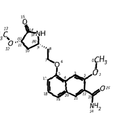 COc1cc2c(OCC[C@@H]3C[C@H](OC)C(=O)N3)cccc2cc1C(N)=O